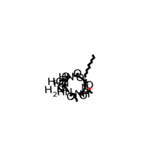 CCCCCCCCCC[C@H]1OC(=O)[C@H](C)NC(=O)[C@H]([C@H](C)O)NC(=O)[C@H](CN)NC(=O)[C@H]([C@H](C)CC)NC(=O)[C@H](CC(C)C)N(C)C(=O)C1(C)C